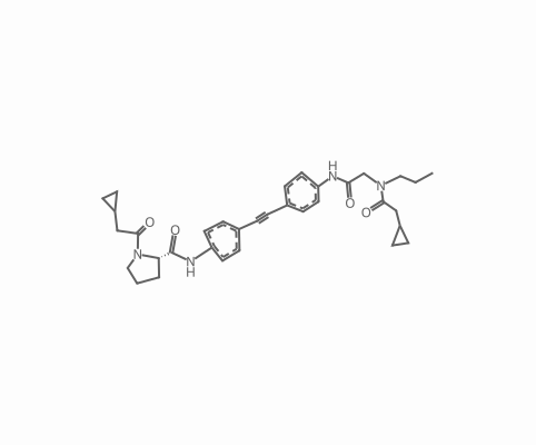 CCCN(CC(=O)Nc1ccc(C#Cc2ccc(NC(=O)[C@@H]3CCCN3C(=O)CC3CC3)cc2)cc1)C(=O)CC1CC1